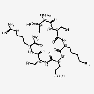 CC(=O)N[C@H](C(=O)N[C@@H](CS)C(=O)N[C@@H](CCCCN)C(=O)N[C@@H](CCC(=O)O)C(=O)N[C@@H](CC(C)C)C(=O)N[C@@H](CCCNC(=N)N)C(N)=O)[C@@H](C)O